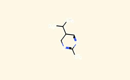 CC1=NCC(C(C)C)C=N1